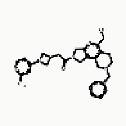 O=C(CC1CN(c2ccnc(C(F)(F)F)c2)C1)N1Cc2nc(CO)c3c(c2C1)CN(Cc1ccccc1)CC3